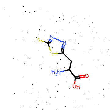 NC(Cc1nnc([S])s1)C(=O)O